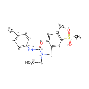 CS(=O)(=O)c1cc(CN(CC(=O)O)C(=O)Nc2ccc(C(F)(F)F)cc2)ccc1[N+](=O)[O-]